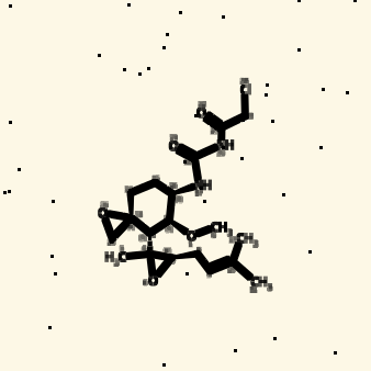 CO[C@H]1[C@H](C2(C)O[C@@H]2CC=C(C)C)[C@]2(CC[C@H]1NC(=O)NC(=O)CCl)CO2